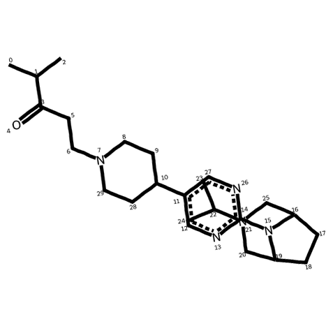 CC(C)C(=O)CCN1CCC(c2cnc(N3C4CCC3CN(C(C)C)C4)nc2)CC1